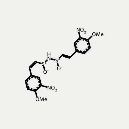 COc1ccc(/C=C\[S+]([O-])N[S+]([O-])/C=C/c2ccc(OC)c([N+](=O)[O-])c2)cc1[N+](=O)[O-]